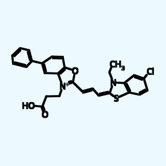 CCN1C(=CC=Cc2oc3ccc(-c4ccccc4)cc3[n+]2CCC(=O)O)Sc2ccc(Cl)cc21